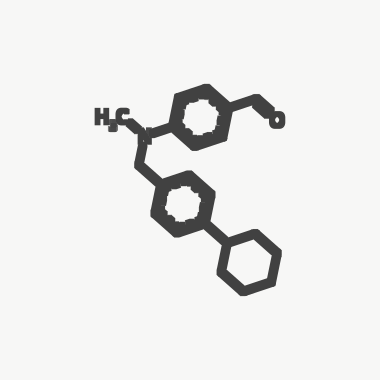 CN(Cc1ccc(C2CCCCC2)cc1)c1ccc(C=O)cc1